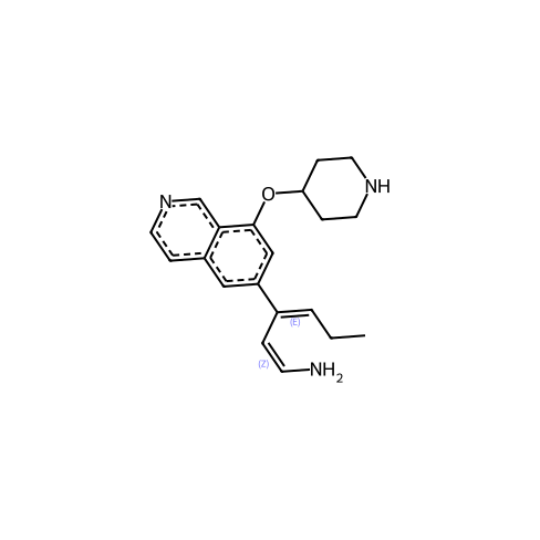 CC/C=C(\C=C/N)c1cc(OC2CCNCC2)c2cnccc2c1